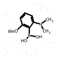 COc1cccc(N(C)C)c1B(O)O